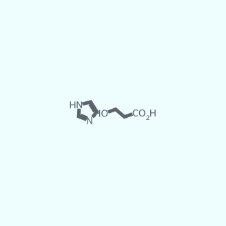 O=C(O)CCO.c1c[nH]cn1